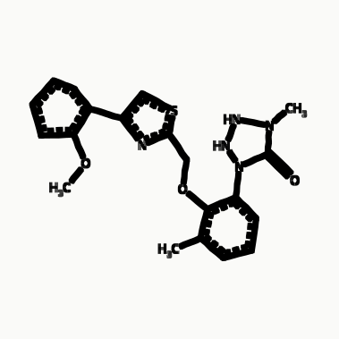 COc1ccccc1-c1csc(COc2c(C)cccc2N2NNN(C)C2=O)n1